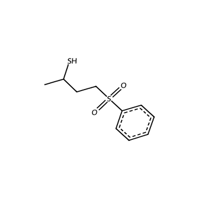 CC(S)CCS(=O)(=O)c1ccccc1